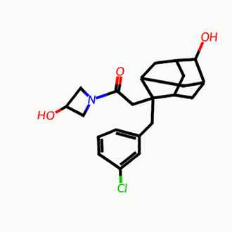 O=C(CC1(Cc2cccc(Cl)c2)C2CC3CC1CC(C2)C3O)N1CC(O)C1